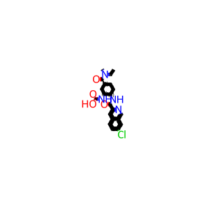 CCN(C)C(=O)[C@H]1CC[C@H](NC(=O)c2cc3ccc(Cl)cc3cn2)[C@H](NC(=O)O)C1